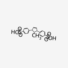 CC1C(c2ccc(S(=O)(=O)O)cc2)C=CC1c1ccc(S(=O)(=O)O)cc1